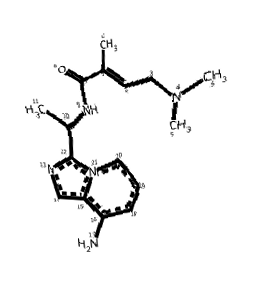 CC(=CCN(C)C)C(=O)NC(C)c1ncc2c(N)cccn12